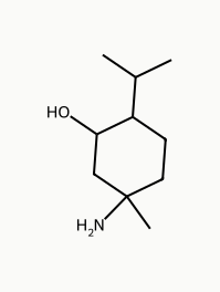 CC(C)C1CCC(C)(N)CC1O